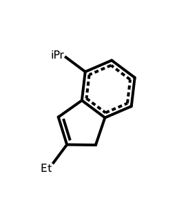 CCC1=Cc2c(cccc2C(C)C)C1